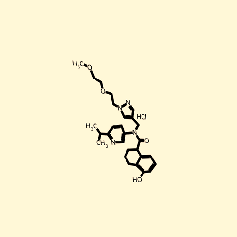 COCCOCCn1cc(CN(C(=O)C2CCCc3c(O)cccc32)c2ccc(C(C)C)nc2)cn1.Cl